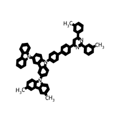 Cc1cccc(-c2cc(-c3ccc(-c4ccc(-n5c6ccc(-n7c8ccccc8c8ccccc87)cc6c6cc(-n7c8ccc(C)cc8c8cc(C)ccc87)ccc65)cc4)cc3)nc(-c3cccc(C)c3)n2)c1